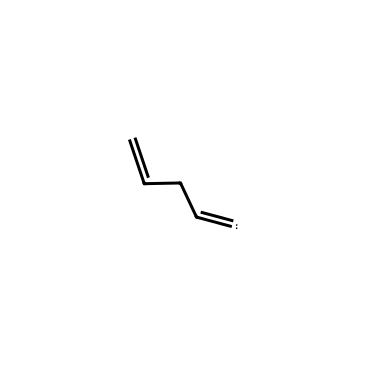 [C]=CCC=C